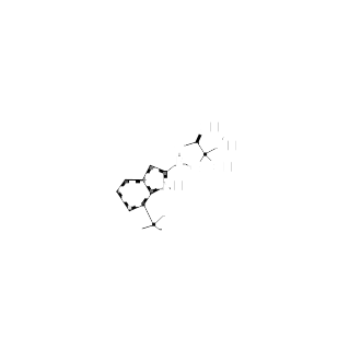 C=C1OB(c2cc3cccc(C(F)(F)F)c3[nH]2)OC1(C)C